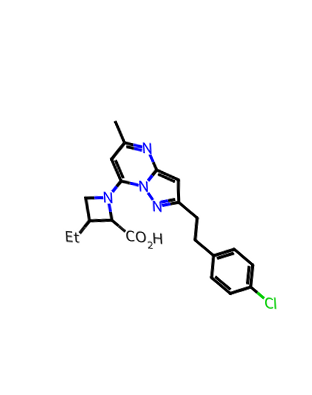 CCC1CN(c2cc(C)nc3cc(CCc4ccc(Cl)cc4)nn23)C1C(=O)O